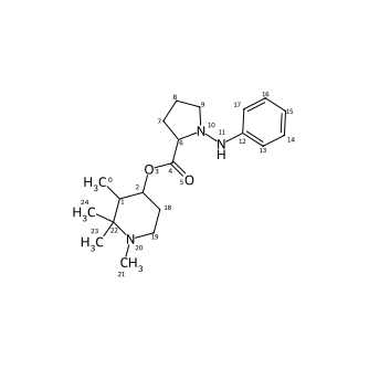 CC1C(OC(=O)C2CCCN2Nc2ccccc2)CCN(C)C1(C)C